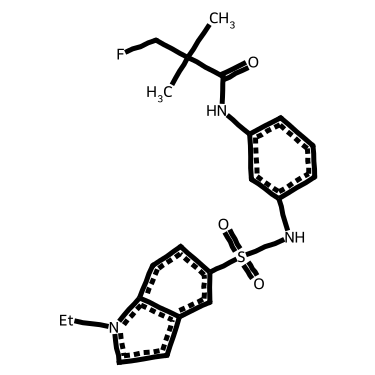 CCn1ccc2cc(S(=O)(=O)Nc3cccc(NC(=O)C(C)(C)CF)c3)ccc21